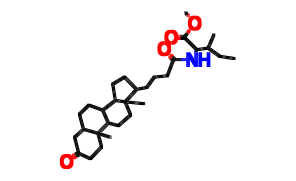 CCC(C)C(NC(=O)CCCC1CCC2C3CCC4CC(=O)CCC4(C)C3CCC12C)C(=O)OC